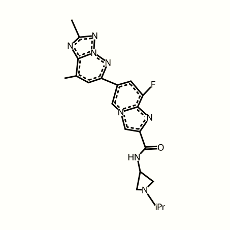 Cc1nc2c(C)cc(-c3cc(F)c4nc(C(=O)NC5CN(C(C)C)C5)cn4c3)nn2n1